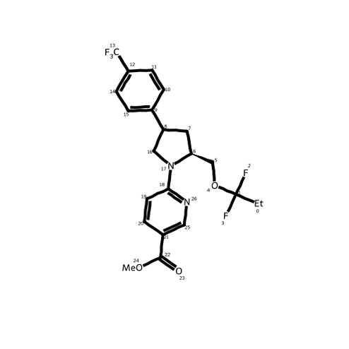 CCC(F)(F)OC[C@@H]1CC(c2ccc(C(F)(F)F)cc2)CN1c1ccc(C(=O)OC)cn1